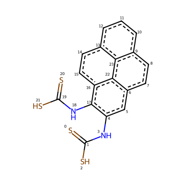 S=C(S)Nc1cc2ccc3cccc4ccc(c1NC(=S)S)c2c34